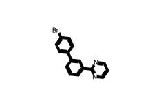 Brc1ccc(-c2cccc(-c3ncccn3)c2)cc1